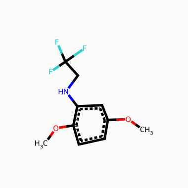 COc1ccc(OC)c(NCC(F)(F)F)c1